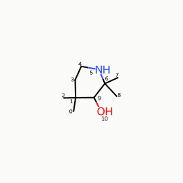 CC1(C)CCNC(C)(C)C1O